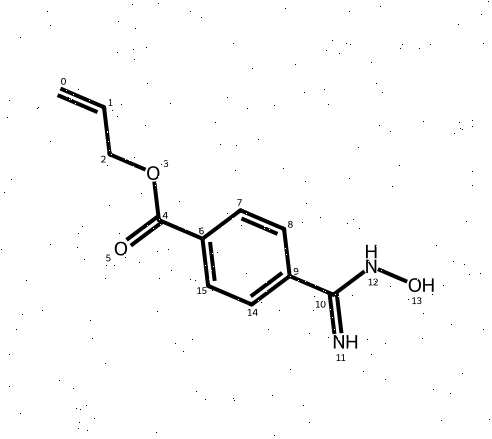 C=CCOC(=O)c1ccc(C(=N)NO)cc1